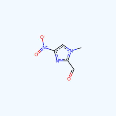 Cn1cc([N+](=O)[O-])nc1C=O